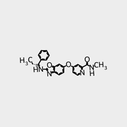 CC[C@@H](Nc1nc2ccc(Oc3ccnc(C(=O)NC)c3)cc2o1)c1ccccc1